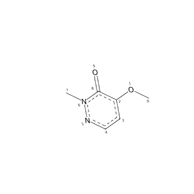 COc1ccnn(C)c1=O